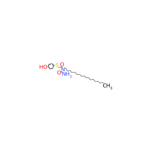 CCCCCCCCCCCCCCCCCCN(C(N)=O)C(=O)CSc1ccc(O)cc1